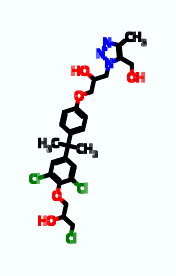 Cc1nnn(CC(O)COc2ccc(C(C)(C)c3cc(Cl)c(OCC(O)CCl)c(Cl)c3)cc2)c1CO